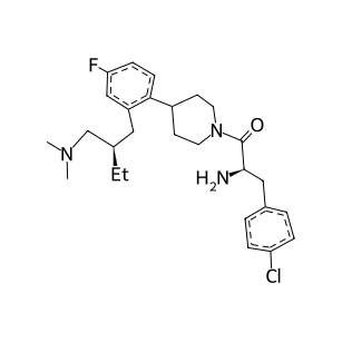 CC[C@H](Cc1cc(F)ccc1C1CCN(C(=O)[C@H](N)Cc2ccc(Cl)cc2)CC1)CN(C)C